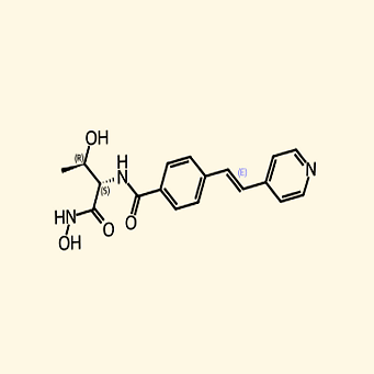 C[C@@H](O)[C@H](NC(=O)c1ccc(/C=C/c2ccncc2)cc1)C(=O)NO